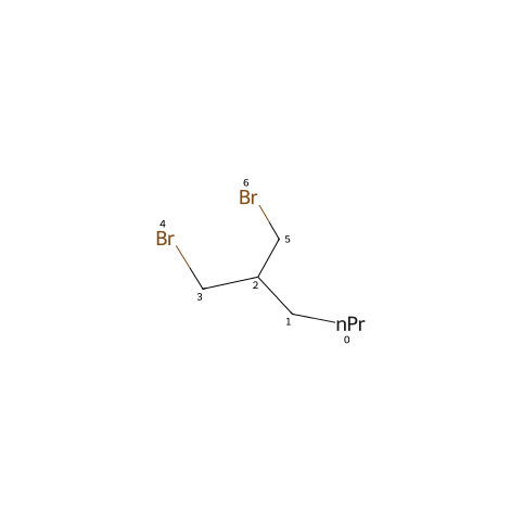 CCCCC(CBr)CBr